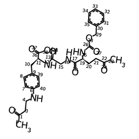 CC(=O)CCNc1ccc(C[C@H](NC(=O)CNC(=O)[C@H](CCC(C)=O)NC(=O)OCc2ccccc2)C(=O)O)cc1